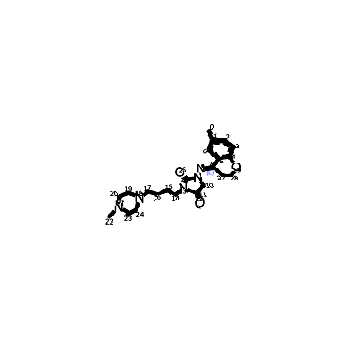 Cc1ccc2c(c1)/C(=N/N1CC(=O)N(CCCCN3CCN(C)CC3)C1=O)CCO2